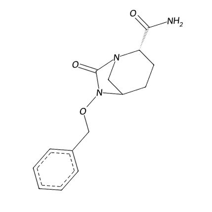 NC(=O)[C@@H]1CCC2CN1C(=O)N2OCc1ccccc1